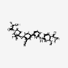 COc1nc(Nc2nccc(-c3ccc(OC4CCN(C(=O)[C@@H](C)O)CC4(F)F)c(C#N)c3)n2)ccc1C(=O)N(C)C